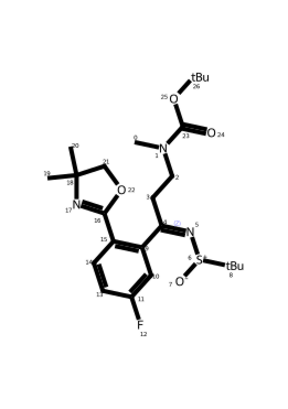 CN(CC/C(=N/[S+]([O-])C(C)(C)C)c1cc(F)ccc1C1=NC(C)(C)CO1)C(=O)OC(C)(C)C